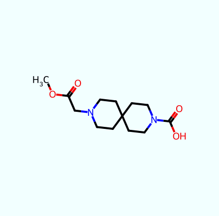 COC(=O)CN1CCC2(CC1)CCN(C(=O)O)CC2